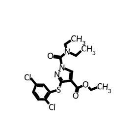 CCOC(=O)c1cn(C(=O)N(CC)CC)nc1Sc1cc(Cl)ccc1Cl